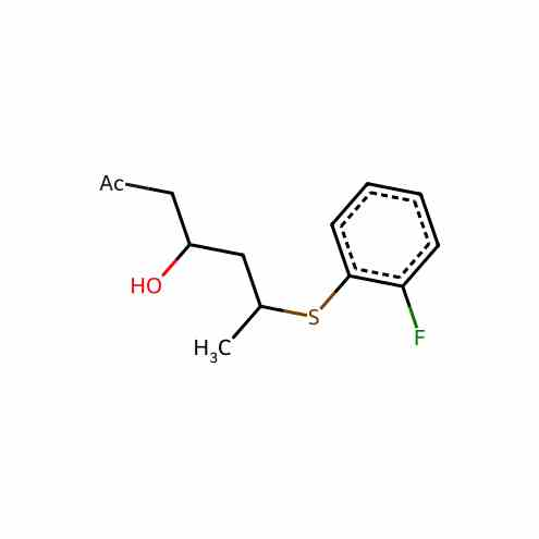 CC(=O)CC(O)CC(C)Sc1ccccc1F